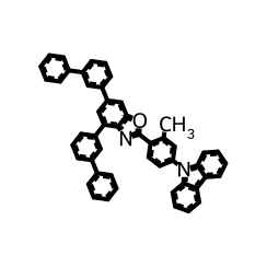 Cc1cc(-n2c3ccccc3c3ccccc32)ccc1-c1nc2c(-c3cccc(-c4ccccc4)c3)cc(-c3cccc(-c4ccccc4)c3)cc2o1